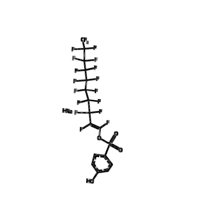 O=S(=O)(OC(F)=C(F)C(F)(F)C(F)(F)C(F)(F)C(F)(F)C(F)(F)C(F)(F)C(F)(F)C(F)(F)F)c1ccc(O)cc1.[NaH]